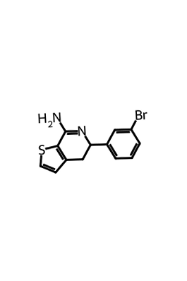 NC1=NC(c2cccc(Br)c2)Cc2ccsc21